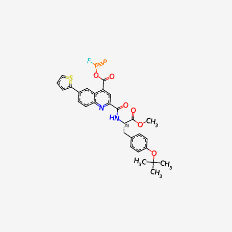 COC(=O)[C@H](Cc1ccc(OC(C)(C)C)cc1)NC(=O)c1cc(C(=O)OP(F)#P)c2cc(-c3cccs3)ccc2n1